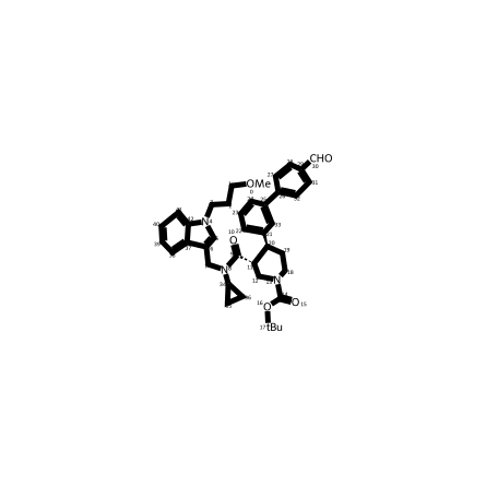 COCCCn1cc(CN(C(=O)[C@H]2CN(C(=O)OC(C)(C)C)CC[C@@H]2c2cccc(-c3ccc(C=O)cc3)c2)C2CC2)c2ccccc21